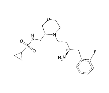 N[C@@H](CCN1CCOCC1CNS(=O)(=O)C1CC1)Cc1ccccc1F